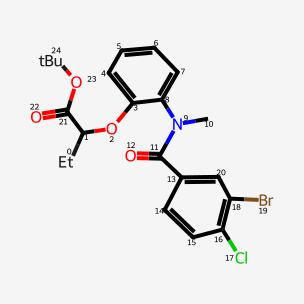 CCC(Oc1ccccc1N(C)C(=O)c1ccc(Cl)c(Br)c1)C(=O)OC(C)(C)C